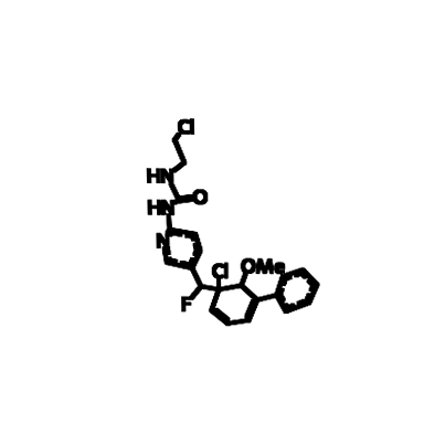 COC1C(c2ccccc2)=CC=CC1(Cl)C(F)c1ccc(NC(=O)NCCCl)nc1